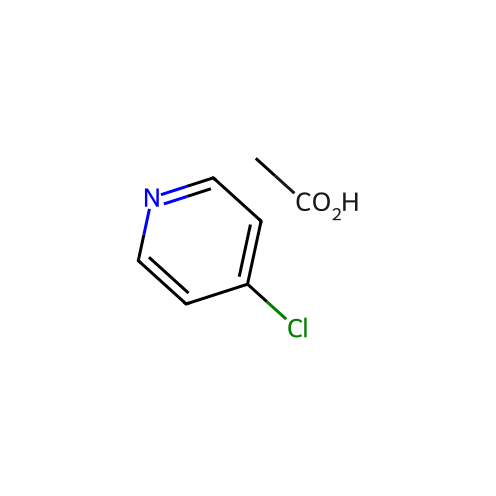 CC(=O)O.Clc1ccncc1